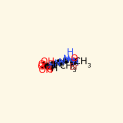 C[C@H]1CN([C@@H]2CCN3c4cc(C(=O)O)c(C(=O)O)cc4OC[C@@H]3C2)CCN1c1ccc(Nc2cc(Br)cn(C)c2=O)nc1